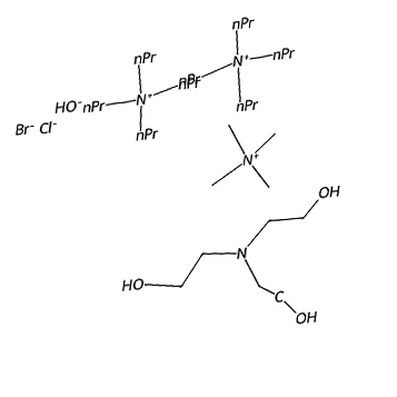 CCC[N+](CCC)(CCC)CCC.CCC[N+](CCC)(CCC)CCC.C[N+](C)(C)C.OCCN(CCO)CCO.[Br-].[Cl-].[OH-]